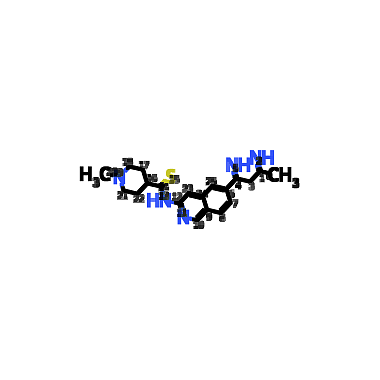 CC(=N)CC(=N)c1ccc2cnc(NC(=S)C3CCN(C)CC3)cc2c1